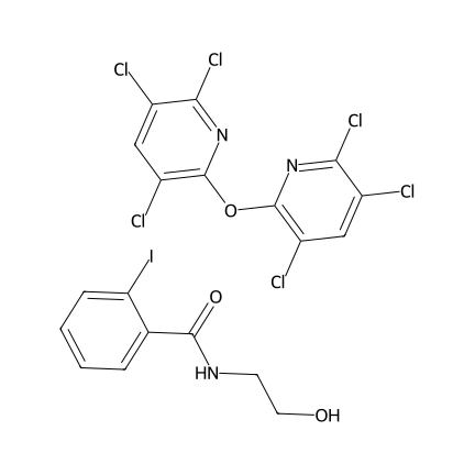 Clc1cc(Cl)c(Oc2nc(Cl)c(Cl)cc2Cl)nc1Cl.O=C(NCCO)c1ccccc1I